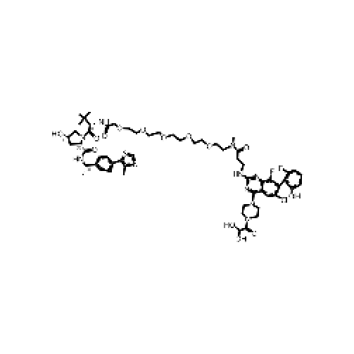 Cc1ncsc1-c1ccc([C@H](C)NC(=O)[C@@H]2C[C@@H](O)CN2C(=O)[C@@H](NC(=O)COCCOCCOCCOCCOCCN(C)C(=O)CCNc2nc(N3CCN(C(=O)C(O)O)CC3)c3cc(Cl)c(-c4c(O)cccc4F)c(F)c3n2)C(C)(C)C)cc1